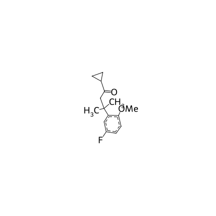 COc1ccc(F)cc1C(C)(C)CC(=O)C1CC1